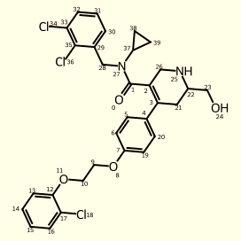 O=C(C1=C(c2ccc(OCCOc3ccccc3Cl)cc2)CC(CO)NC1)N(Cc1cccc(Cl)c1Cl)C1CC1